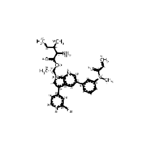 C=CC(=O)N(C)c1cccc(-c2cnc3c(c2)c(-c2ccnc(F)c2)cn3[C@H](C)OC(=O)C(N)C(C)CC)c1